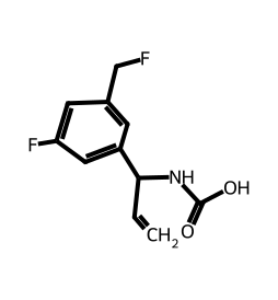 C=CC(NC(=O)O)c1cc(F)cc(CF)c1